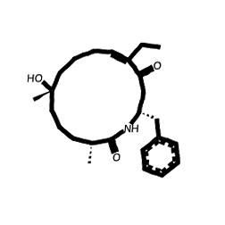 CC/C1=C/CCC[C@@](C)(O)CCC[C@@H](C)C(=O)N[C@@H](Cc2ccccc2)CC1=O